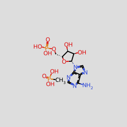 CP(=O)(O)O.Nc1ncnc2c1ncn2[C@@H]1O[C@H](COP(=O)(O)O)[C@@H](O)[C@H]1O